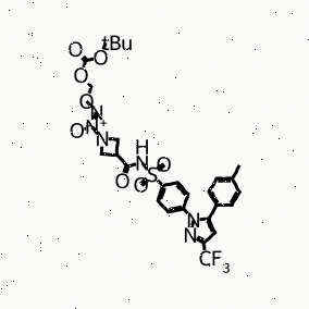 Cc1ccc(-c2cc(C(F)(F)F)nn2-c2ccc(S(=O)(=O)NC(=O)C3CN([N+]([O-])=NOCOC(=O)OC(C)(C)C)C3)cc2)cc1